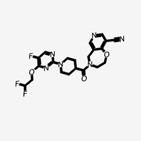 N#Cc1cncc2c1OCCN(C(=O)C1CCN(c3ncc(F)c(OCC(F)F)n3)CC1)C2